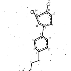 N#CCCCc1ccc(-c2ccc(Cl)c(Cl)c2)cc1